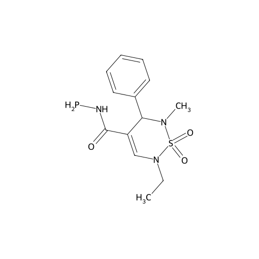 CCN1C=C(C(=O)NP)C(c2ccccc2)N(C)S1(=O)=O